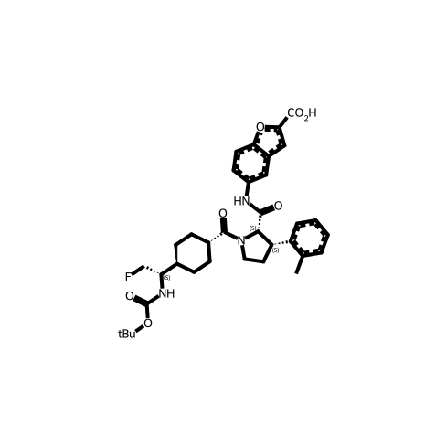 Cc1ccccc1[C@@H]1CCN(C(=O)[C@H]2CC[C@H]([C@@H](CF)NC(=O)OC(C)(C)C)CC2)[C@@H]1C(=O)Nc1ccc2oc(C(=O)O)cc2c1